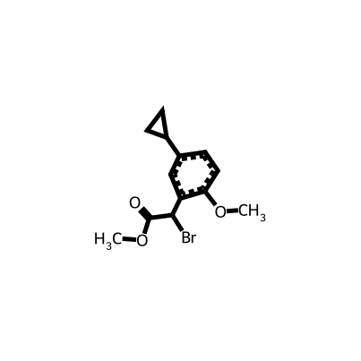 COC(=O)C(Br)c1cc(C2CC2)ccc1OC